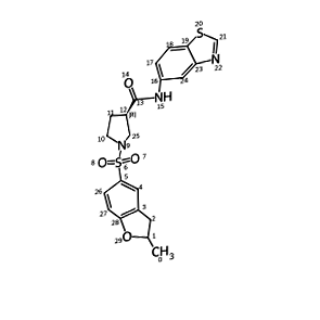 CC1Cc2cc(S(=O)(=O)N3CC[C@@H](C(=O)Nc4ccc5scnc5c4)C3)ccc2O1